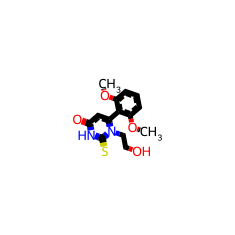 COc1cccc(OC)c1-c1cc(=O)[nH]c(=S)n1CCO